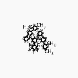 Cc1ccc(-c2ccc3c4ccccc4n(-c4cc(-c5c(F)c(F)c(F)c(F)c5F)cc(-n5c6ccccc6c6ccc(-c7ccc(C)cc7C)cc65)c4C(F)(F)F)c3c2)c(C)c1